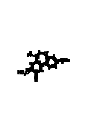 COc1ccc2c(c1)OC[C@@H](C(C)C)n1cc(C(=O)O)c(=O)cc1-2